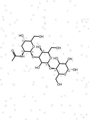 CC(=O)N[C@H]1C[C@H](O)C(CO)O[C@H]1OC1C(O)[C@H](O[C@@H]2C(CO)O[C@@H](O)C(O)C2O)OC(CO)[C@@H]1O